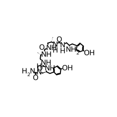 C[C@@H](CNC(=O)N[C@H](CNC(N)=O)Cc1ccc(O)cc1)NC(=O)NC[C@H](C)NC(=O)NC[C@@H](N)Cc1ccc(O)cc1